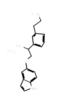 Cl.NCCc1cccc(C(O)COc2ccc3[nH]ccc3c2)c1